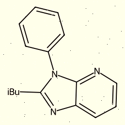 CCC(C)c1nc2cccnc2n1-c1ccccc1